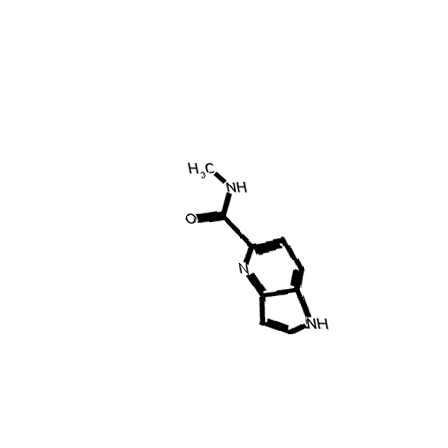 CNC(=O)c1ccc2[nH]ccc2n1